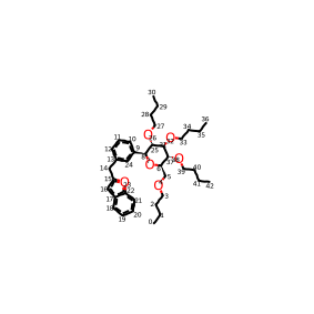 CCCCOC[C@H]1O[C@@H](c2cccc(Cc3cc4ccccc4o3)c2)[C@H](OCCCC)[C@@H](OCCCC)[C@@H]1OCCCC